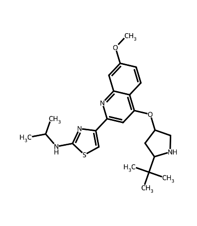 COc1ccc2c(OC3CNC(C(C)(C)C)C3)cc(-c3csc(NC(C)C)n3)nc2c1